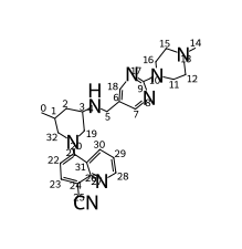 CC1CC(NCc2cnc(N3CCN(C)CC3)nc2)CN(c2ccc(C#N)c3ncccc23)C1